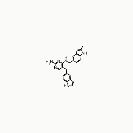 Cc1cc2cc(CNc3nc(N)ncc3Cc3ccc4[nH]ccc4c3)ccc2[nH]1